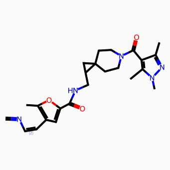 C=N/C=C\c1cc(C(=O)NCC2CC23CCN(C(=O)c2c(C)nn(C)c2C)CC3)oc1C